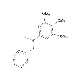 COc1cc(N(C)Cc2ccccc2)cc(OC)c1OC